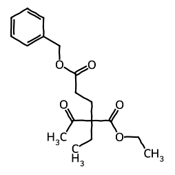 CCOC(=O)C(CC)(CCC(=O)OCc1ccccc1)C(C)=O